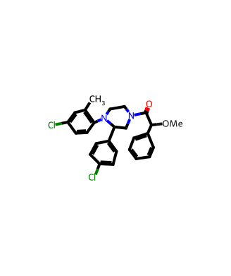 COC(C(=O)N1CCN(c2ccc(Cl)cc2C)C(c2ccc(Cl)cc2)C1)c1ccccc1